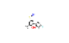 Cc1cc(-c2cc(SC#N)cc(C(C)C)c2O)ccc1F